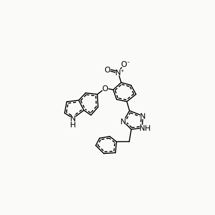 O=[N+]([O-])c1ccc(-c2n[nH]c(Cc3ccccc3)n2)cc1Oc1ccc2[nH]ccc2c1